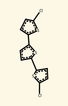 Clc1ccc(-c2ccc(-c3ccc(Cl)s3)s2)s1